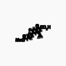 COC(=O)CN1CCN(c2cc3c(cc2F)c(=O)c(C(=O)O)cn3C2CC2)CC1